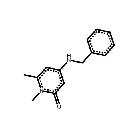 Cc1cc(NCc2ccccc2)cc(=O)n1C